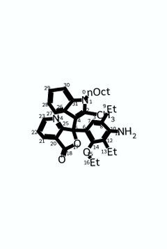 CCCCCCCCn1c(C)c(C2(c3cc(CC)c(N)c(CC)c3OCC)OC(=O)c3cccnc32)c2ccccc21